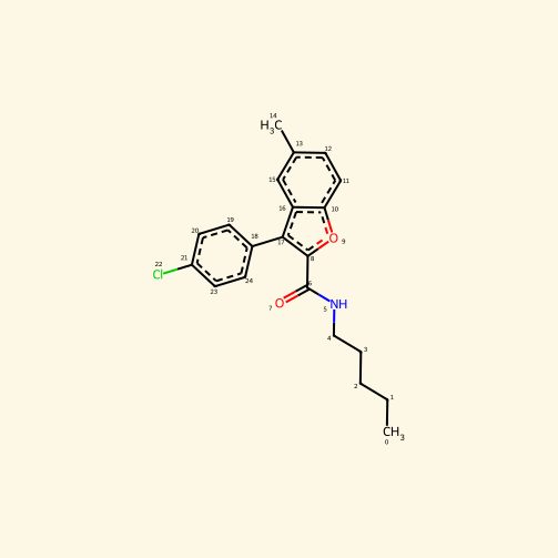 CCCCCNC(=O)c1oc2ccc(C)cc2c1-c1ccc(Cl)cc1